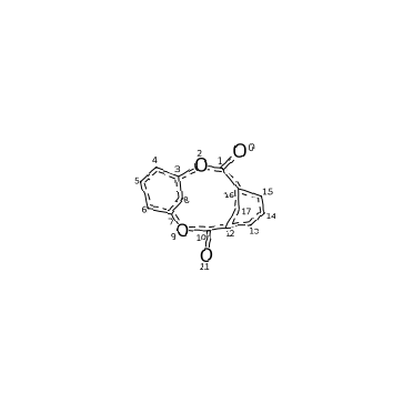 O=c1oc2cccc(c2)oc(=O)c2cccc1c2